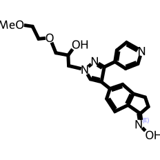 COCCOCC(O)Cn1cc(-c2ccc3c(c2)CC/C3=N\O)c(-c2ccncc2)n1